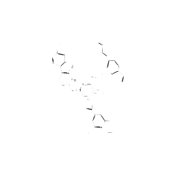 C=CC=C.C=Cc1ccccc1.COC(=O)[C@H]1[C@H]2C[C@@H]3c4[nH]c5cc(OC)ccc5c4CCN3C[C@H]2C[C@@H](OC(=O)c2cc(OC)c(OC)c(OC)c2)[C@@H]1OC